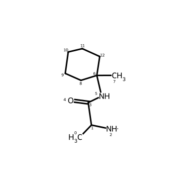 CC([NH])C(=O)NC1(C)CCCCC1